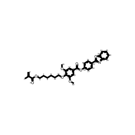 C=C(C)C(=O)OCCCCCCOc1c(OC)cc(C(=O)Oc2ccc(-c3nc4ccccc4o3)cc2)cc1OC